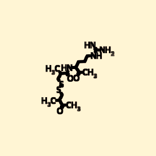 CC(=O)C(C)CSSCC(C)C(=O)NC(CCCNC(=N)N)C(C)=O